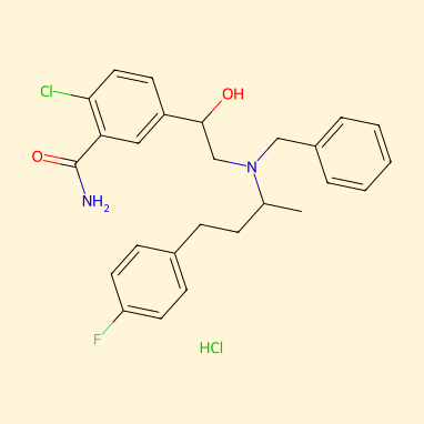 CC(CCc1ccc(F)cc1)N(Cc1ccccc1)CC(O)c1ccc(Cl)c(C(N)=O)c1.Cl